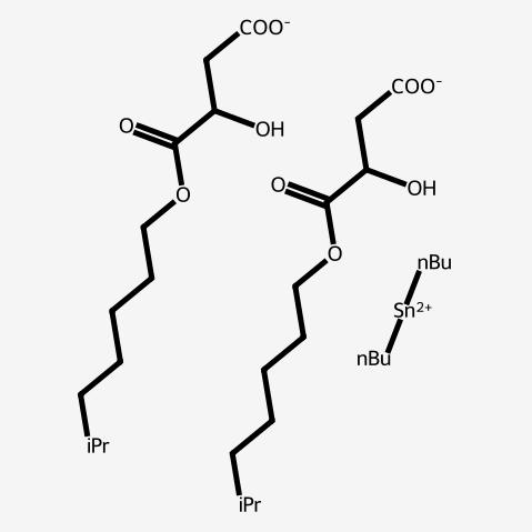 CC(C)CCCCCOC(=O)C(O)CC(=O)[O-].CC(C)CCCCCOC(=O)C(O)CC(=O)[O-].CCC[CH2][Sn+2][CH2]CCC